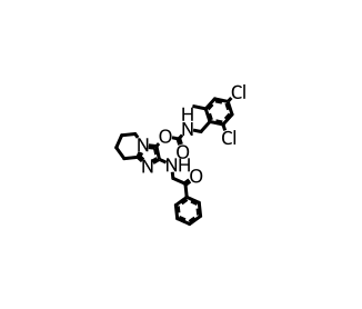 Cc1cc(Cl)cc(Cl)c1CNC(=O)Oc1c(NCC(=O)c2ccccc2)nc2n1CCCC2